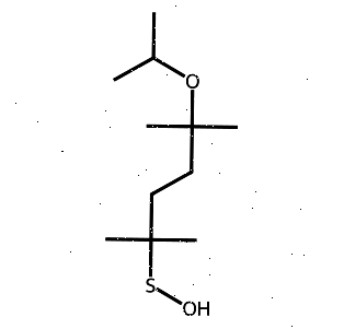 CC(C)OC(C)(C)CCC(C)(C)SO